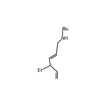 C=CC(/C=C/CNC(C)CC)CC